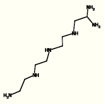 NCCNCCNCCNCC(N)N